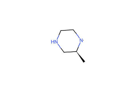 C[C@H]1CNCC[N]1